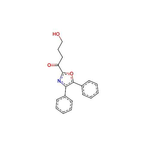 O=C(CCCO)c1nc(-c2ccccc2)c(-c2ccccc2)o1